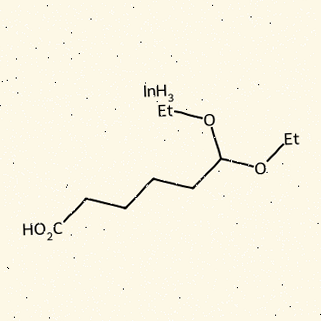 CCOC(CCCCC(=O)O)OCC.[InH3]